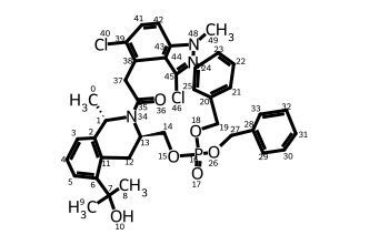 C[C@H]1c2cccc(C(C)(C)O)c2C[C@H](COP(=O)(OCc2ccccc2)OCc2ccccc2)N1C(=O)Cc1c(Cl)ccc2c1c(Cl)nn2C